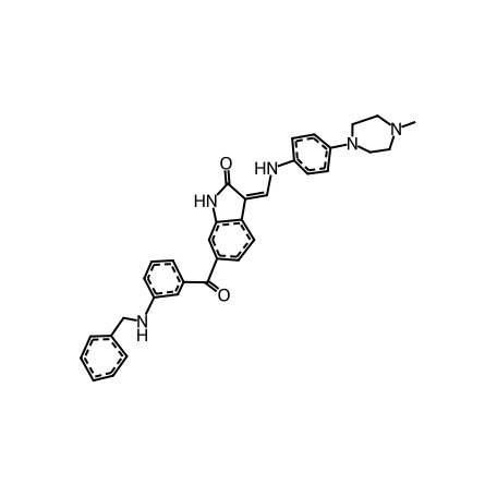 CN1CCN(c2ccc(N/C=C3\C(=O)Nc4cc(C(=O)c5cccc(NCc6ccccc6)c5)ccc43)cc2)CC1